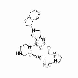 C#C[C@H]1CNCCN1c1nc(OC[C@@H]2CCCN2C)nc2c1CN(C1CCc3ccccc31)C2